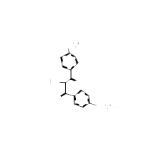 CCC(C(=O)c1ccc(OC)cc1)C(=O)c1ccc(OC)cc1